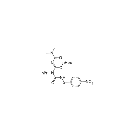 CCCCCCOC(=NC(=O)N(C)C)N(CCC)C(=O)NSc1ccc([N+](=O)[O-])cc1